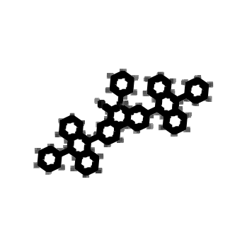 O=c1c2cc(-c3c4ccccc4c(-c4ccccc4)c4ccccc34)ccc2c2ccc(-c3c4ccccc4c(-c4ccccc4)c4ccccc34)cc2n1-c1ccccc1